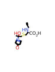 C#CCN[C@H](CSCC(C)(O)n1ccc(=O)cc1)C(=O)O